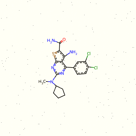 CN(c1nc(-c2ccc(Cl)c(Cl)c2)c2c(N)c(C(N)=O)sc2n1)C1CCCC1